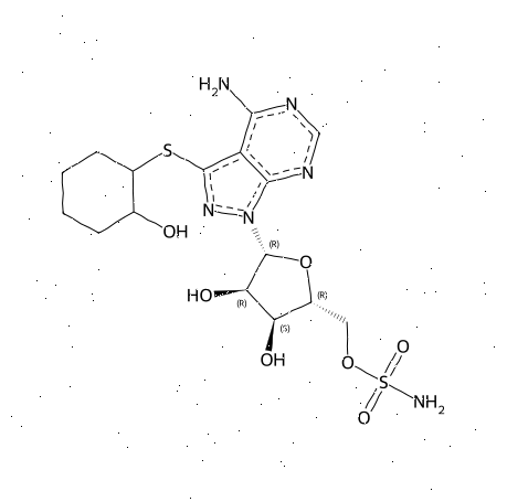 Nc1ncnc2c1c(SC1CCCCC1O)nn2[C@@H]1O[C@H](COS(N)(=O)=O)[C@@H](O)[C@H]1O